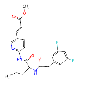 CCCC(NC(=O)Cc1cc(F)cc(F)c1)C(=O)Nc1ccc(C=CC(=O)OC)cn1